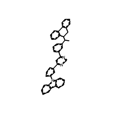 CC(c1cccc(-c2cc(-c3cccc(-n4c5ccccc5c5ccccc54)c3)ncn2)c1)C1Cc2ccccc2-c2ccccc21